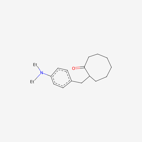 CCN(CC)c1ccc(CC2CCCCCCC2=O)cc1